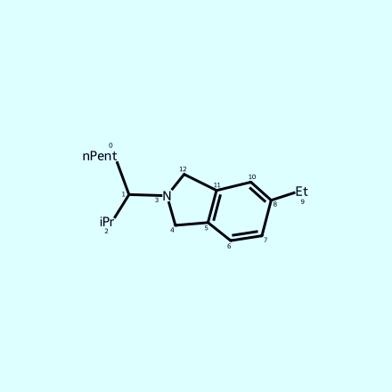 CCCCCC(C(C)C)N1Cc2ccc(CC)cc2C1